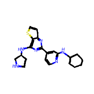 c1cc(-c2nc(NC3CCNC3)c3sccc3n2)cc(NC2CCCCC2)n1